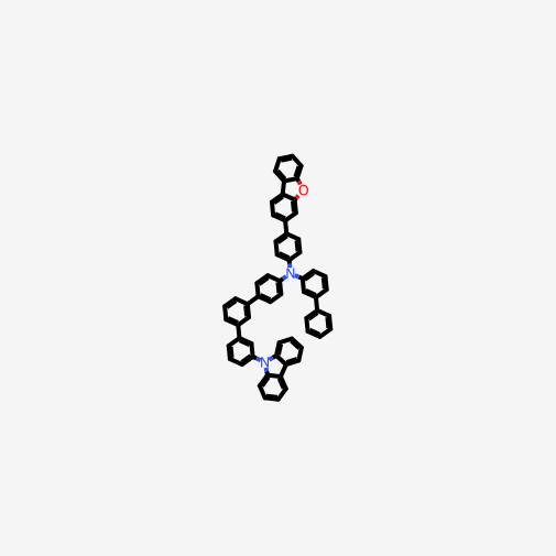 c1ccc(-c2cccc(N(c3ccc(-c4cccc(-c5cccc(-n6c7ccccc7c7ccccc76)c5)c4)cc3)c3ccc(-c4ccc5c(c4)oc4ccccc45)cc3)c2)cc1